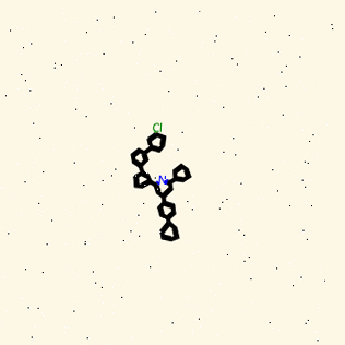 Clc1cccc(-c2cccc(-c3cccc(-c4cc(-c5ccc(-c6ccccc6)cc5)cc(-c5ccccc5)n4)c3)c2)c1